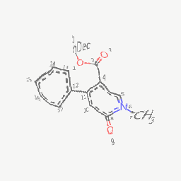 CCCCCCCCCCOC(=O)c1cn(C)c(=O)cc1-c1ccccc1